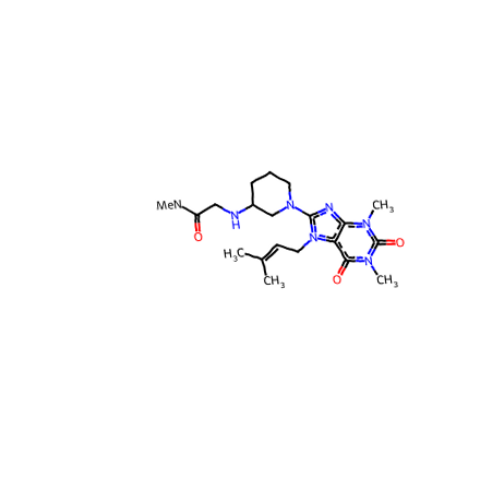 CNC(=O)CNC1CCCN(c2nc3c(c(=O)n(C)c(=O)n3C)n2CC=C(C)C)C1